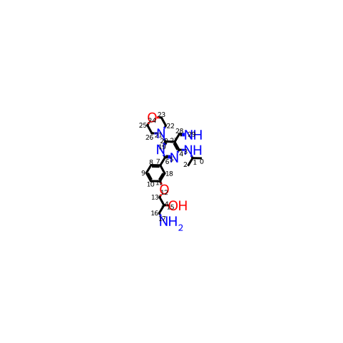 CC(C)Nc1nc(-c2cccc(OCC(O)CN)c2)nc(N2CCOCC2)c1C=N